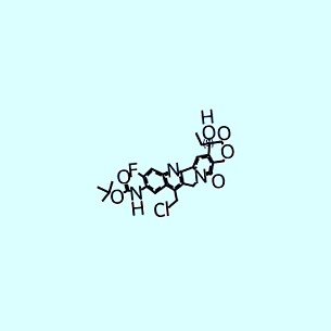 CC[C@@]1(O)C(=O)OCc2c1cc1n(c2=O)Cc2c-1nc1cc(F)c(NC(=O)OC(C)(C)C)cc1c2CCl